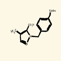 COc1ccc(Cn2ncc(C)c2C(=O)O)cc1